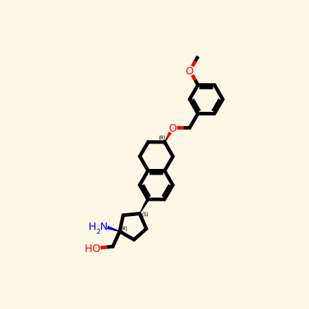 COc1cccc(CO[C@@H]2CCc3cc([C@H]4CC[C@](N)(CO)C4)ccc3C2)c1